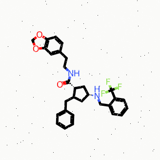 O=C(NCCc1ccc2c(c1)OCO2)[C@@H]1C[C@H](NCc2ccccc2C(F)(F)F)CC1Cc1ccccc1